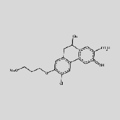 COCCCOc1cc2c(cc1Cl)-c1cc(=N)c(C(=O)O)cn1C(C(C)(C)C)C2